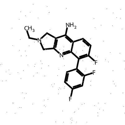 CCN1Cc2nc3c(-c4ccc(F)cc4F)c(F)ccc3c(N)c2C1